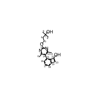 Cc1nc(OCCC(C)(C)O)nc(C)c1-c1cccc2c1C(O)=C2